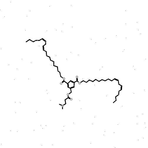 CCCCC/C=C\C/C=C\CCCCCCCCCCOC(=O)c1cc(COC(=O)CCN(C)C)cc(C(=O)OCCCCCCCCCC/C=C\C/C=C\CCCCC)c1